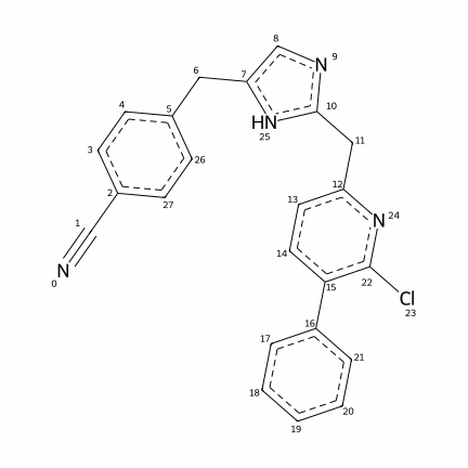 N#Cc1ccc(Cc2cnc(Cc3ccc(-c4ccccc4)c(Cl)n3)[nH]2)cc1